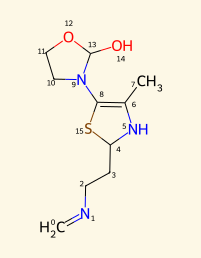 C=NCCC1NC(C)=C(N2CCOC2O)S1